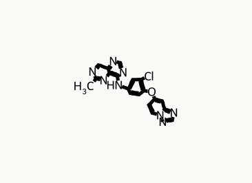 Cc1ncc2ncnc(Nc3ccc(Oc4ccn5ncnc5c4)c(Cl)c3)c2n1